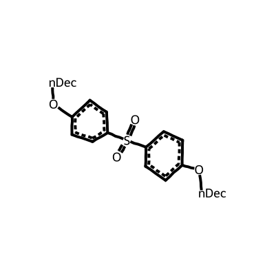 CCCCCCCCCCOc1ccc(S(=O)(=O)c2ccc(OCCCCCCCCCC)cc2)cc1